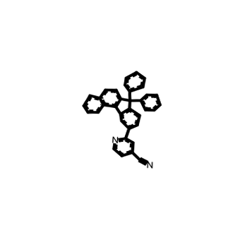 N#Cc1ccnc(-c2ccc3c(c2)-c2c(ccc4ccccc24)C3(c2ccccc2)c2ccccc2)c1